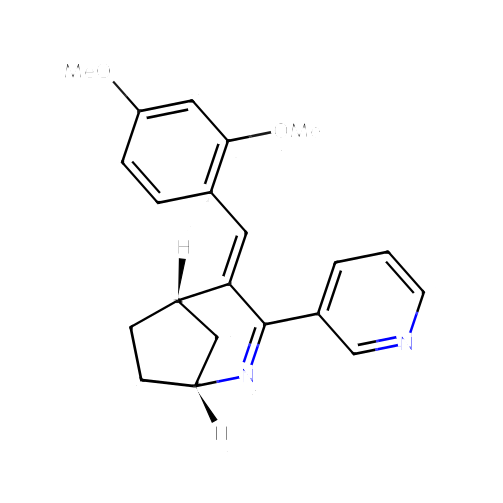 COc1ccc(C=C2C(c3cccnc3)=N[C@@H]3CC[C@H]2C3)c(OC)c1